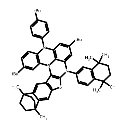 CC(C)(C)c1ccc(N2c3ccc(C(C)(C)C)cc3B3c4c2cc(C(C)(C)C)cc4N(c2ccc4c(c2)C(C)(C)CCC4(C)C)c2sc4cc5c(cc4c23)C2(C)CCC5(C)CC2)cc1